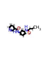 CCCC(=O)Nc1cccc(NC(=O)c2cccnc2)c1